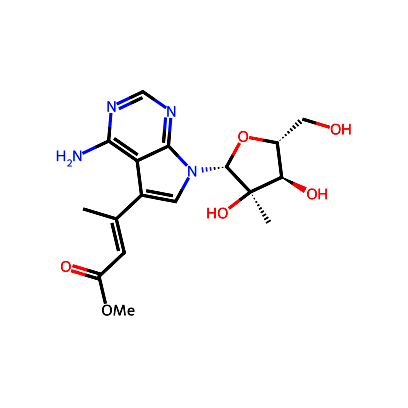 COC(=O)/C=C(\C)c1cn([C@@H]2O[C@H](CO)[C@@H](O)[C@@]2(C)O)c2ncnc(N)c12